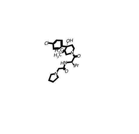 CC(C)[C@@H](NC(=O)CN1CCCC1)C(=O)N1CC[C@](O)(c2ccc(Cl)cc2)C(C)(C)C1